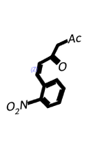 CC(=O)CC(=O)/C=C\c1ccccc1[N+](=O)[O-]